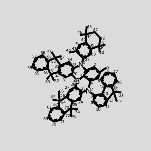 Cc1cc2c3c(c1)N(c1cccc4c1-c1ccccc1C4(C)C)c1cc4c(cc1B3c1cc3c(cc1N2c1cc2c(cc1C)C(C)(C)CCC2(C)C)C(C)(C)c1ccccc1C3(C)C)C(C)(C)c1ccccc1C4(C)C